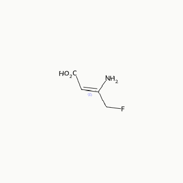 N/C(=C\C(=O)O)CF